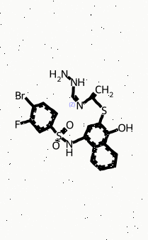 C=C(/N=C\NN)Sc1cc(NS(=O)(=O)c2ccc(Br)c(F)c2)c2ccccc2c1O